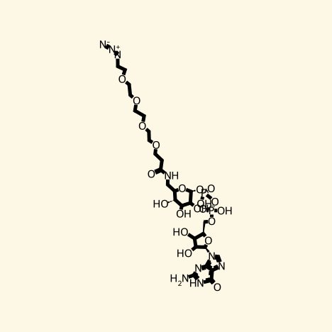 [N-]=[N+]=NCCOCCOCCOCCOCCC(=O)NCC1O[C@H](OP(=O)(O)OP(=O)(O)OC[C@H]2O[C@@H](n3cnc4c(=O)[nH]c(N)nc43)C(O)C2O)C(O)C(O)[C@@H]1O